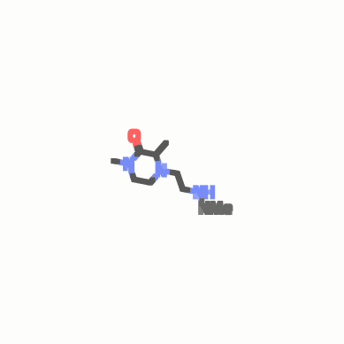 CNNCCN1CCN(C)C(=O)C1C